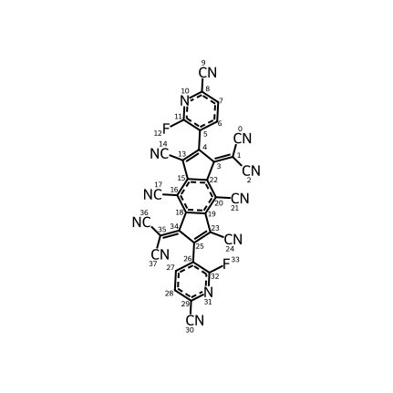 N#CC(C#N)=C1C(c2ccc(C#N)nc2F)=C(C#N)c2c(C#N)c3c(c(C#N)c21)C(C#N)=C(c1ccc(C#N)nc1F)C3=C(C#N)C#N